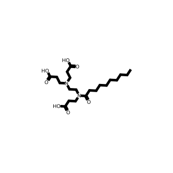 CCCCCCCCCC(=O)N(CCC(=O)O)CCN(CCC(=O)O)CCC(=O)O